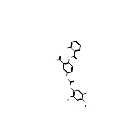 COc1cc(OC)c(NC(=S)Nc2ccc(NC(=O)c3ccccc3F)c(C(=O)O)c2)cc1Cl